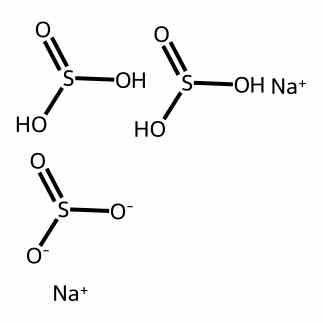 O=S(O)O.O=S(O)O.O=S([O-])[O-].[Na+].[Na+]